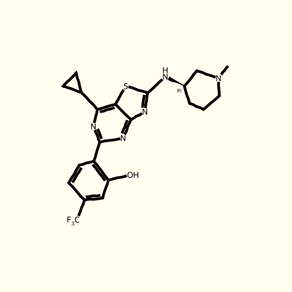 CN1CCC[C@@H](Nc2nc3nc(-c4ccc(C(F)(F)F)cc4O)nc(C4CC4)c3s2)C1